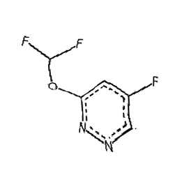 Fc1[c]nnc(OC(F)F)c1